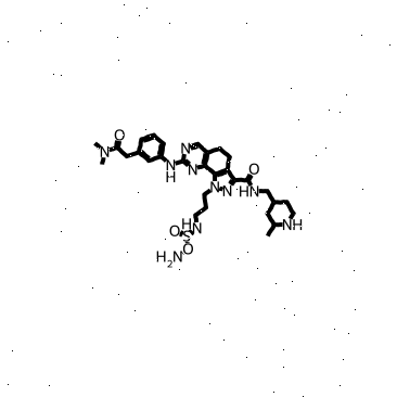 CC1CC(CNC(=O)c2nn(CCCN=[SH](=O)ON)c3c2CCc2cnc(Nc4cccc(CC(=O)N(C)C)c4)nc2-3)CCN1